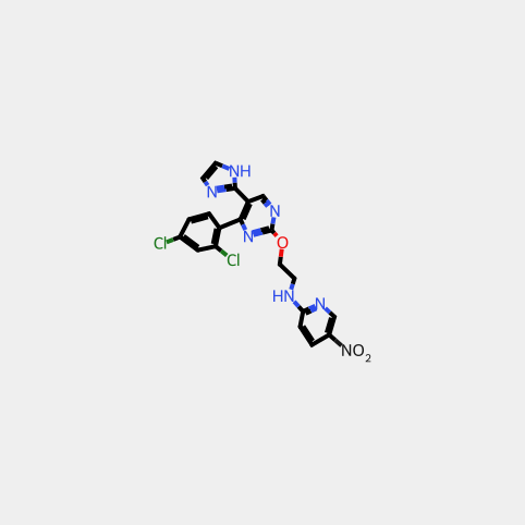 O=[N+]([O-])c1ccc(NCCOc2ncc(-c3ncc[nH]3)c(-c3ccc(Cl)cc3Cl)n2)nc1